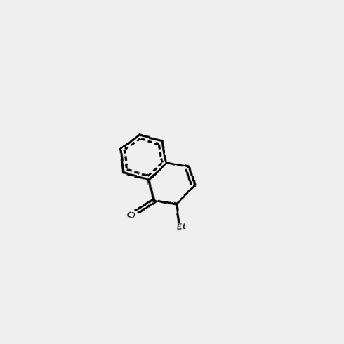 CCC1C=Cc2ccccc2C1=O